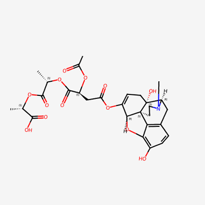 CC(=O)O[C@@H](CC(=O)OC1=CC[C@@]2(O)[C@H]3Cc4ccc(O)c5c4[C@@]2(CCN3C)[C@H]1O5)C(=O)O[C@@H](C)C(=O)O[C@@H](C)C(=O)O